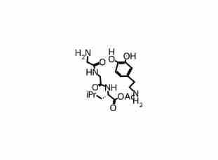 CC(=O)OC(=O)[C@H](CC(C)C)NC(=O)CNC(=O)CN.NCCc1ccc(O)c(O)c1